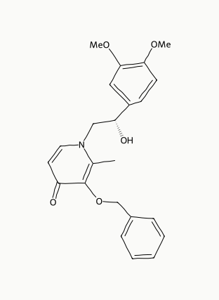 COc1ccc([C@H](O)Cn2ccc(=O)c(OCc3ccccc3)c2C)cc1OC